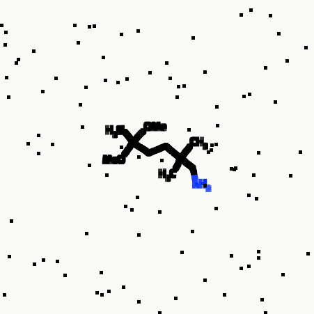 COC([SiH3])(CCC(C)(C)CN)OC